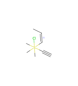 C#CS(C)(C)(C)(Cl)/C=C\C